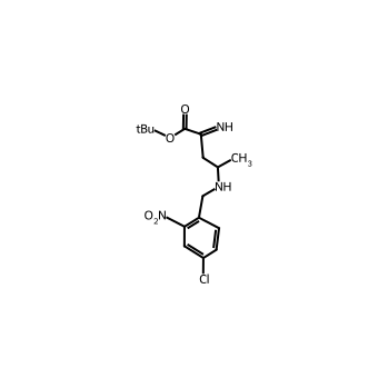 CC(CC(=N)C(=O)OC(C)(C)C)NCc1ccc(Cl)cc1[N+](=O)[O-]